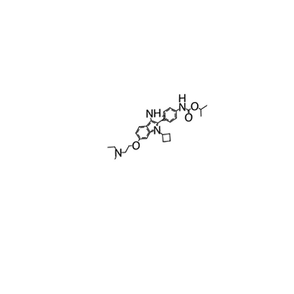 CCN(C)CCOc1ccc2c(N)c(-c3ccc(NC(=O)OC(C)C)cc3)n(C3CCC3)c2c1